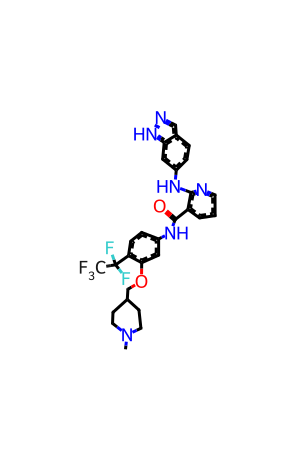 CN1CCC(COc2cc(NC(=O)c3cccnc3Nc3ccc4cn[nH]c4c3)ccc2C(F)(F)C(F)(F)F)CC1